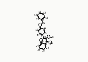 COc1c(-c2ccc(OCc3ccccc3)cc2)oc2ccccc2c1=O